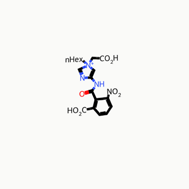 CCCCCC[N+]1(CC(=O)O)C=NC(NC(=O)c2c(C(=O)O)cccc2[N+](=O)[O-])=C1